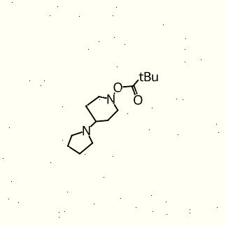 CC(C)(C)C(=O)ON1CCC(N2CCCC2)CC1